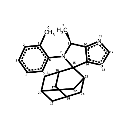 Cc1ccccc1N1[C@@H](C)c2ncsc2C12C1CC3CC(C1)CC2C3